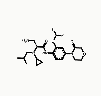 CC(C)CN(C1CC1)[C@@H](CN)C(=O)Nc1ccc(N2CCOCC2=O)cc1OC(F)F